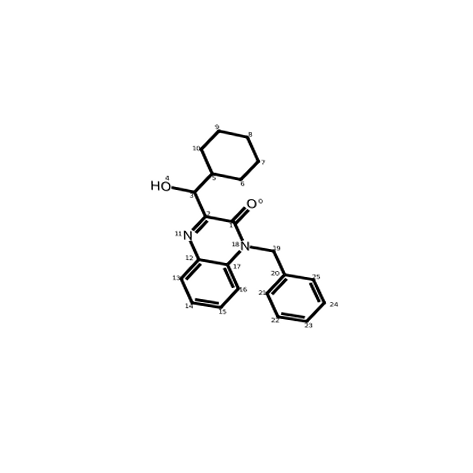 O=c1c(C(O)C2CCCCC2)nc2ccccc2n1Cc1ccccc1